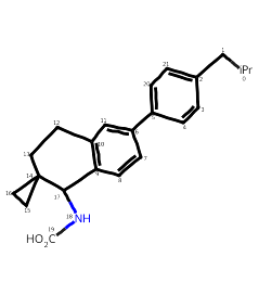 CC(C)Cc1ccc(-c2ccc3c(c2)CCC2(CC2)C3NC(=O)O)cc1